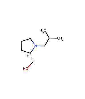 C[C](C)CN1CCC[C@H]1CO